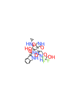 O=C(NC1CC1)C(O)[C@@H](NC(=O)[C@@H]1Cc2ccccc2CN1)C([C@@H]1CCNC1=O)[C@@H]1CCNC1=O.O=C(O)C(F)(F)F